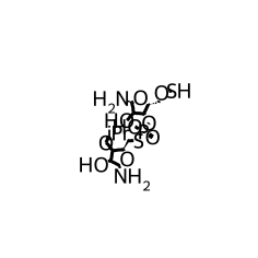 CC(C)OC1C(O)[C@H](N)O[C@@H]1CSP(=O)(O)OC1C(O)[C@H](N)O[C@@H]1COS